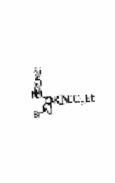 CCOC(=O)N1CCC(n2cc(-c3cnn(COCC[Si](C)(C)C)c3)c3cc(Br)ncc32)CC1